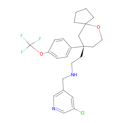 FC(F)(F)Oc1ccc([C@@]2(CCNCc3cncc(Cl)c3)CCOC3(CCCC3)C2)cc1